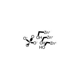 O=P([O-])([O-])[O-].O[CH2][Zn+].O[CH2][Zn+].O[CH2][Zn+]